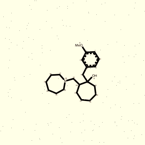 COc1cccc(CC2(O)CCCCCC2CN2CCCCCC2)c1